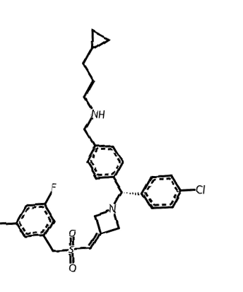 O=S(=O)(C=C1CN([C@@H](c2ccc(Cl)cc2)c2ccc(CNCCCC3CC3)cc2)C1)Cc1cc(F)cc(F)c1